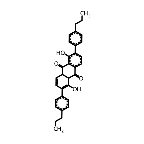 CCCc1ccc(C2=C(O)C3C(=O)c4ccc(-c5ccc(CCC)cc5)c(O)c4C(=O)C3C=C2)cc1